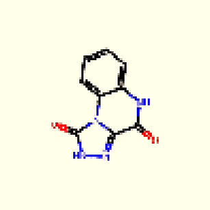 O=c1[nH]c2ccccc2n2c(=O)[nH]nc12